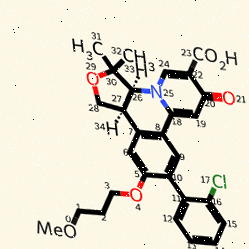 COCCCOc1cc2c(cc1-c1ccccc1Cl)-c1cc(=O)c(C(=O)O)cn1[C@H]1[C@@H]2COC1(C)C